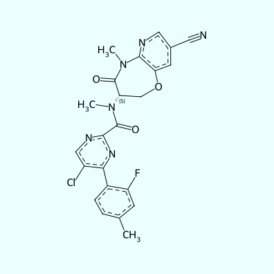 Cc1ccc(-c2nc(C(=O)N(C)[C@H]3COc4cc(C#N)cnc4N(C)C3=O)ncc2Cl)c(F)c1